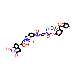 O=C(COc1cccc([C@](O)(C(=O)O)c2ccccc2)c1)N[C@H]1C[C@H](NC(=O)c2ccc(CNC[C@H](O)c3ccc(O)c4[nH]c(=O)ccc34)c(C(F)(F)F)c2)C1